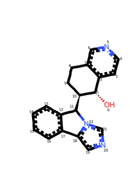 O[C@H]1c2ccncc2CC[C@@H]1C1c2ccccc2-c2cncn21